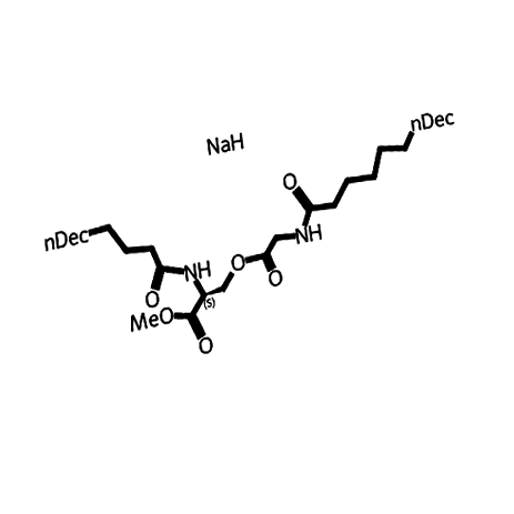 CCCCCCCCCCCCCCCC(=O)NCC(=O)OC[C@H](NC(=O)CCCCCCCCCCCCC)C(=O)OC.[NaH]